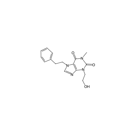 Cn1c(=O)c2c(ncn2CCc2ccccc2)n(CCO)c1=O